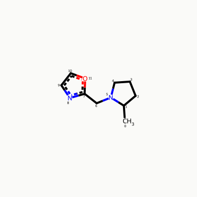 CC1CCCN1Cc1ncco1